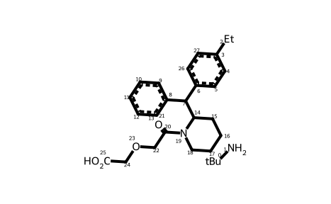 CC(C)(C)N.CCc1ccc(C(c2ccccc2)C2CCCCN2C(=O)COCC(=O)O)cc1